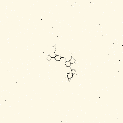 CN(C)CCc1nc(Nc2ccc(-c3cnc4cc(F)ccn34)c3c2C(=O)NC3)ccc1C1CCOC1